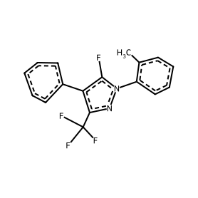 Cc1ccccc1-n1nc(C(F)(F)F)c(-c2ccccc2)c1F